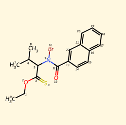 CCOC(=S)C(C(C)C)N(Br)C(=O)c1ccc2ccccc2c1